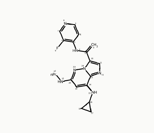 C=C(Nc1ccncc1F)c1cnc2c(NC3CC3)cc(NCCC)nn12